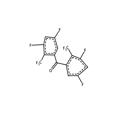 O=C(c1cc(F)cc(F)c1C(F)(F)F)c1cc(F)cc(F)c1C(F)(F)F